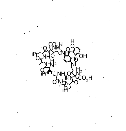 CC(C)C[C@H](NC(=O)[C@H](C)NC(=O)[C@@H](N)CC(C)C)C(=O)NC(N)(CC(=O)O)C(=O)CCNc1ccc(NCCC(=O)C(N)(CC(=O)O)NC(=O)[C@H](CC(C)C)NC(=O)[C@H](C)NC(=O)[C@@H](N)CC(C)C)c2c1C(=O)c1c(O)ccc(O)c1C2=O